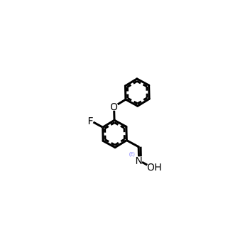 O/N=C/c1ccc(F)c(Oc2ccccc2)c1